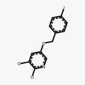 Clc1cc(OCc2ccc(I)cc2)cnc1Cl